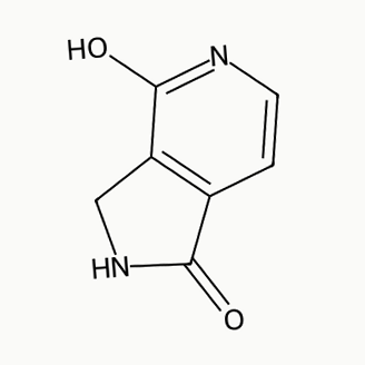 O=C1NCc2c1ccnc2O